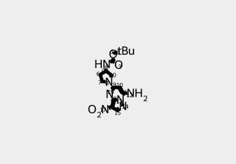 CC(C)(C)OC(=O)N[C@H]1CCN(c2cc(N)n3ncc([N+](=O)[O-])c3n2)C1